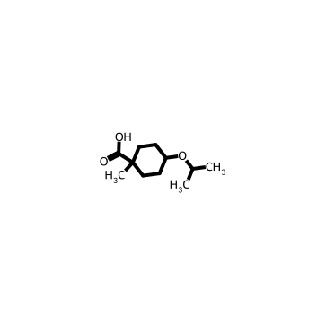 CC(C)OC1CCC(C)(C(=O)O)CC1